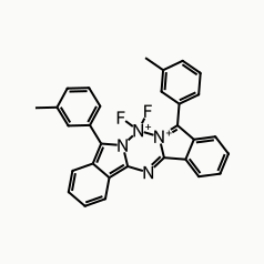 Cc1cccc(C2=[N+]3C(=Nc4c5ccccc5c(-c5cccc(C)c5)n4[N+]3(F)F)c3ccccc32)c1